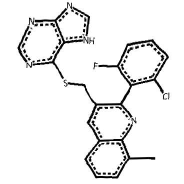 Cc1cccc2cc(CSc3ncnc4nc[nH]c34)c(-c3c(F)cccc3Cl)nc12